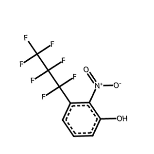 O=[N+]([O-])c1c(O)cccc1C(F)(F)C(F)(F)C(F)(F)F